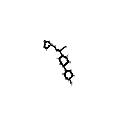 CC(=CCn1ccnc1)c1ccc(-c2ccc(Cl)cc2)cc1